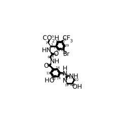 O=C(O)C[C@H](NC(=O)CNC(=O)c1cc(O)cc(NC2=NCC(O)CN2)c1)c1cc(Br)cc(C(F)(F)F)c1